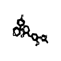 COc1cc(C=C2CCCN(C3(c4ccc(F)cc4)CCOCC3)C2=O)ccc1-n1cnc(C)c1